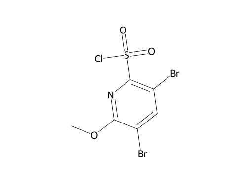 COc1nc(S(=O)(=O)Cl)c(Br)cc1Br